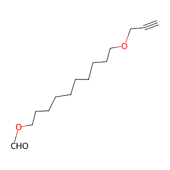 C#CCOCCCCCCCCCCOC=O